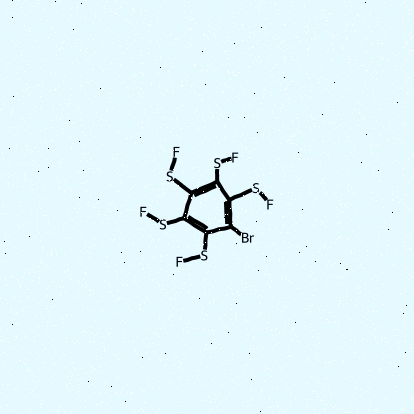 FSc1c(Br)c(SF)c(SF)c(SF)c1SF